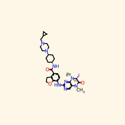 CC(C)N1c2nc(Nc3ccc(C(=O)N[C@H]4CC[C@H](N5CCN(CC6CC6)CC5)CC4)c4c3OCC4)ncc2N(C)C(=O)[C@@H]1I